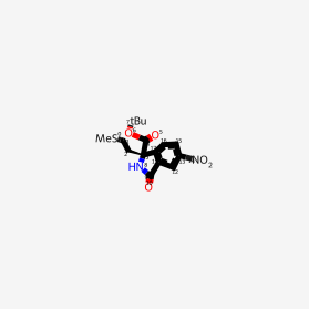 CSCC[C@]1(C(=O)OC(C)(C)C)NC(=O)c2cc([N+](=O)[O-])ccc21